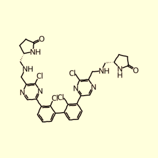 O=C1CC[C@@H](CNCc2ncc(-c3cccc(-c4cccc(-c5cnc(CNC[C@@H]6CCC(=O)N6)c(Cl)n5)c4Cl)c3Cl)nc2Cl)N1